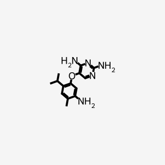 Cc1cc(C(C)C)c(Oc2cnc(N)nc2N)cc1N